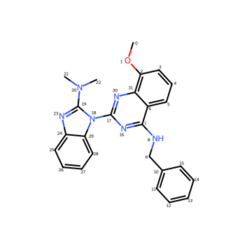 COc1cccc2c(NCc3ccccc3)nc(-n3c(N(C)C)nc4ccccc43)nc12